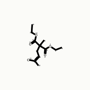 CCOC(=O)C(C)(C/C=C(/C)Cl)C(=O)OCC